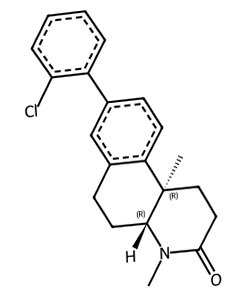 CN1C(=O)CC[C@]2(C)c3ccc(-c4ccccc4Cl)cc3CC[C@@H]12